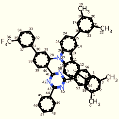 Cc1cc(C)cc(-c2ccc3c(c2)c2cc(-c4cc(C)cc(C)c4)ccc2n3-c2cc(-c3cccc(C(F)(F)F)c3)ccc2-c2nc(-c3ccccc3)nc(-c3ccccc3)n2)c1